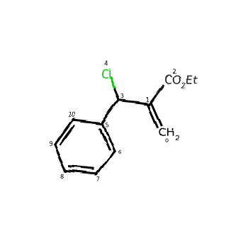 C=C(C(=O)OCC)C(Cl)c1ccccc1